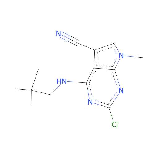 Cn1cc(C#N)c2c(NCC(C)(C)C)nc(Cl)nc21